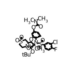 CN(C)C(=O)Oc1ccc(N([C@@](C)(C(=O)OC(C)(C)C)C(=O)C2CS(=O)(=O)CCN2)S(=O)(=O)c2ccc(F)c(Cl)c2)cc1